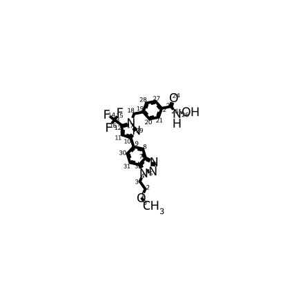 COCCn1nnc2cc(-c3cc(C(F)(F)F)n(Cc4ccc(C(=O)NO)cc4)n3)ccc21